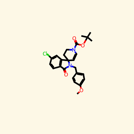 COc1ccc(CN2C(=O)c3ccc(Cl)cc3C23C=CN(C(=O)OC(C)(C)C)CC3)cc1